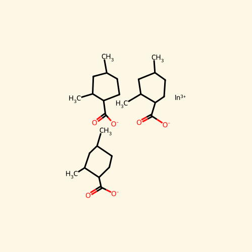 CC1CCC(C(=O)[O-])C(C)C1.CC1CCC(C(=O)[O-])C(C)C1.CC1CCC(C(=O)[O-])C(C)C1.[In+3]